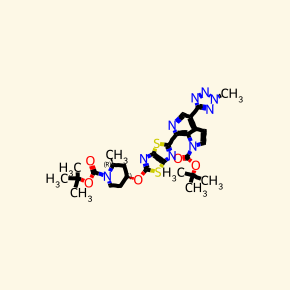 C[C@@H]1C[C@@H](Oc2nc3sc(-c4ncc(-c5nnn(C)n5)c5ccn(C(=O)OC(C)(C)C)c45)nc3s2)CCN1C(=O)OC(C)(C)C